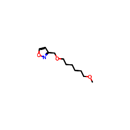 COCCCCCCOCc1ccon1